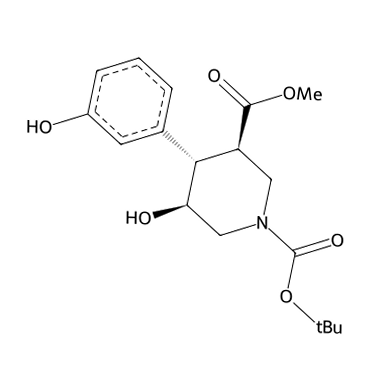 COC(=O)[C@H]1CN(C(=O)OC(C)(C)C)C[C@@H](O)[C@@H]1c1cccc(O)c1